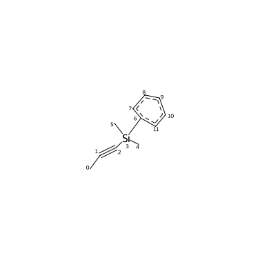 CC#C[Si](C)(C)c1ccccc1